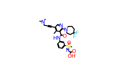 Cc1c(C#CCN(C)C)cnc(N2CCCC(F)(F)CC2)c1C(=O)Nc1cccc(S(C)(=O)=NC(=O)O)c1